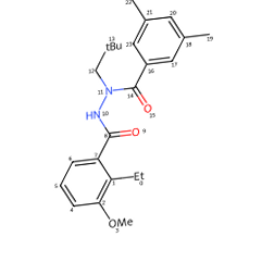 CCc1c(OC)cccc1C(=O)NN(CC(C)(C)C)C(=O)c1cc(C)cc(C)c1